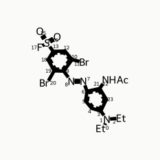 CCN(CC)c1ccc(/N=N/c2c(Br)cc(S(=O)(=O)F)cc2Br)c(NC(C)=O)c1